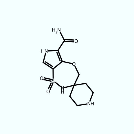 NC(=O)c1[nH]cc2c1OCC1(CCNCC1)NS2(=O)=O